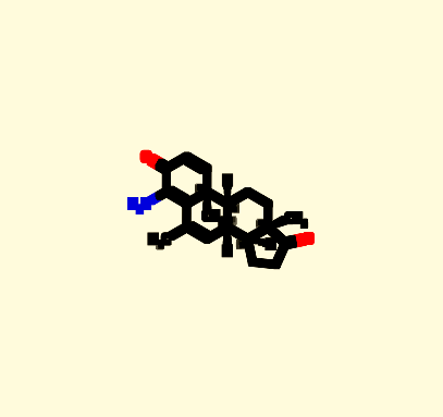 CC1=C[C@@H]2[C@H](CC[C@]3(C)C(=O)CC[C@@H]23)[C@@]2(C)C=CC(=O)C(N)=C12